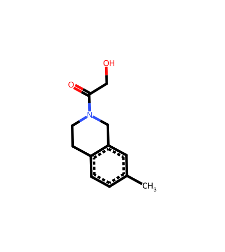 Cc1ccc2c(c1)CN(C(=O)CO)CC2